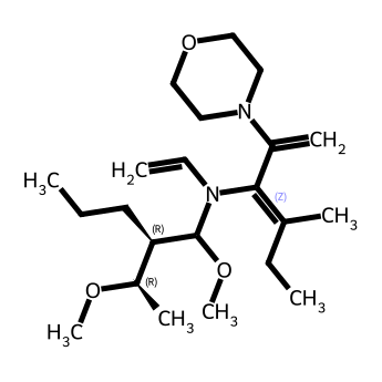 C=CN(/C(C(=C)N1CCOCC1)=C(/C)CC)C(OC)[C@H](CCC)[C@@H](C)OC